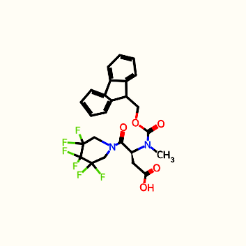 CN(C(=O)OCC1c2ccccc2-c2ccccc21)[C@@H](CC(=O)O)C(=O)N1CC(F)(F)C(F)(F)C(F)(F)C1